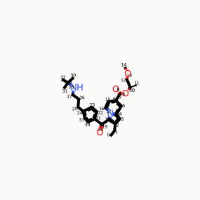 CCc1cc2cc(C(=O)O[C@H](C)COC)ccn2c1C(=O)c1ccc(CCCNC(C)(C)C)cc1